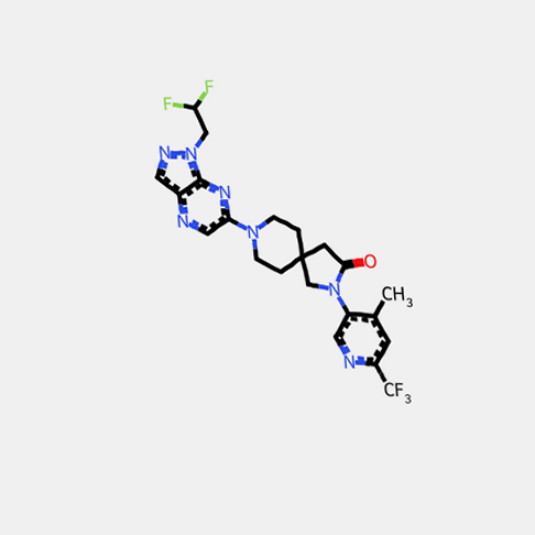 Cc1cc(C(F)(F)F)ncc1N1CC2(CCN(c3cnc4cnn(CC(F)F)c4n3)CC2)CC1=O